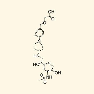 CS(=O)(=O)Nc1cc(C(O)CNC2CCN(c3ccc(COCC(=O)O)cc3)CC2)ccc1O